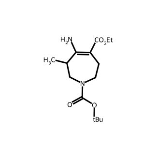 CCOC(=O)C1=C(N)C(C)CN(C(=O)OC(C)(C)C)CC1